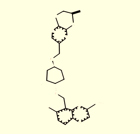 COc1cnc2ccc(Cl)c(CN[C@H]3CC[C@H](NCc4cnc5c(n4)NC(=O)CO5)C[C@H]3O)c2n1